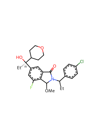 CCC(c1ccc(Cl)cc1)N1C(=O)c2cc([C@](O)(CC)C3CCOCC3)cc(F)c2C1OC